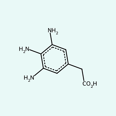 Nc1cc(CC(=O)O)cc(N)c1N